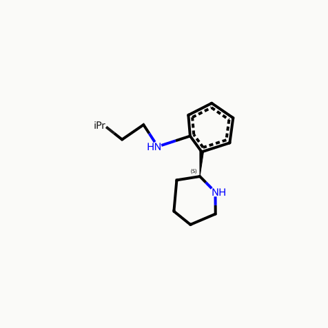 CC(C)CCNc1ccccc1[C@@H]1CCCCN1